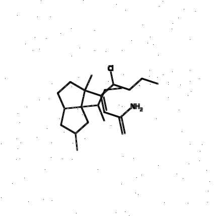 C=C(N)/C=C(\C(Cl)CCC)C1(C)CCC2CC(C)CC21C(C)CC